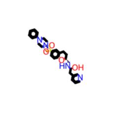 O=S(=O)(c1ccc2c(c1)CC[C@H](CN[C@H](O)Cc1cccnc1)O2)N1CCN(c2ccccc2)CC1